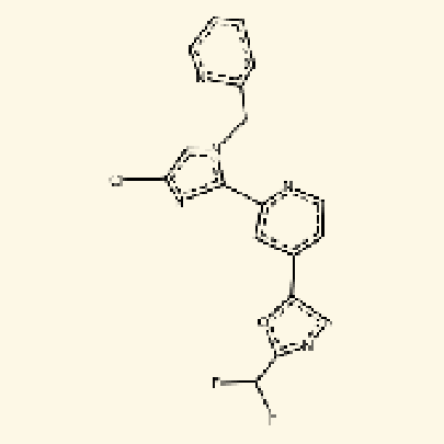 FC(F)c1nnc(-c2ccnc(-c3nc(Cl)cn3Cc3ccccn3)c2)o1